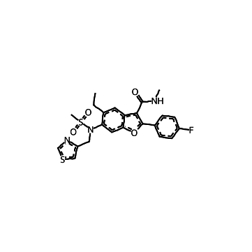 CCc1cc2c(C(=O)NC)c(-c3ccc(F)cc3)oc2cc1N(Cc1cscn1)S(C)(=O)=O